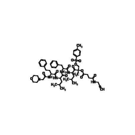 C#CCNC(=O)CCC(=O)OC(C)(COS(=O)(=O)c1ccc(C)cc1)C(=O)C(CC(C)C)NC(=O)C(Cc1ccccc1)NC(=O)C(CC(C)C)NC(=O)C(CCc1ccccc1)NC(=O)CN1CCOCC1